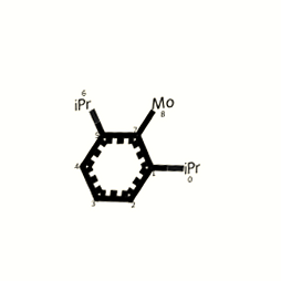 CC(C)c1cccc(C(C)C)[c]1[Mo]